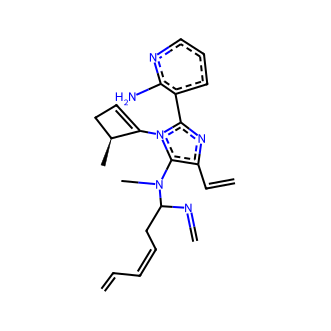 C=C/C=C\CC(N=C)N(C)c1c(C=C)nc(-c2cccnc2N)n1C1=CC[C@@H]1C